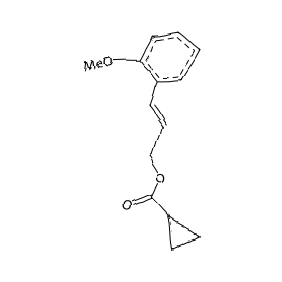 COc1ccccc1C=CCOC(=O)C1CC1